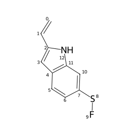 C=Cc1cc2ccc(SF)cc2[nH]1